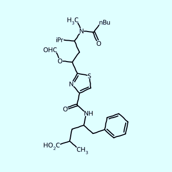 CCCCC(=O)N(C)C(CC(OC=O)c1nc(C(=O)NC(Cc2ccccc2)CC(C)C(=O)O)cs1)C(C)C